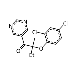 CCC(C)(Oc1ccc(Cl)cc1Cl)C(=O)c1cncnc1